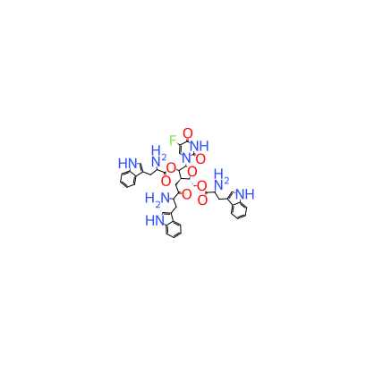 N[C@H](Cc1c[nH]c2ccccc12)C(=O)C[C@H]1[C@@H](OC(=O)[C@H](N)Cc2c[nH]c3ccccc23)[C@H](n2cc(F)c(=O)[nH]c2=O)O[C@@H]1COC(=O)[C@@H](N)Cc1c[nH]c2ccccc12